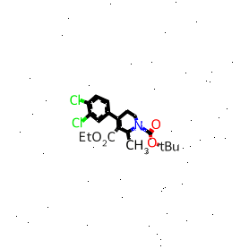 CCOC(=O)C1=C(c2ccc(Cl)c(Cl)c2)CCN(C(=O)OC(C)(C)C)C1C